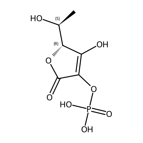 C[C@H](O)[C@H]1OC(=O)C(OP(=O)(O)O)=C1O